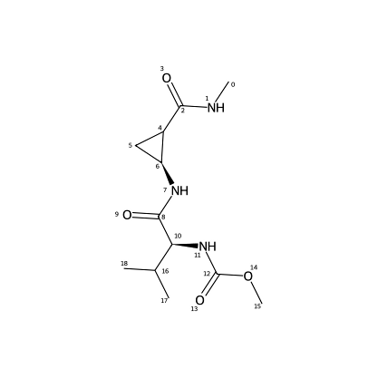 CNC(=O)C1C[C@@H]1NC(=O)[C@@H](NC(=O)OC)C(C)C